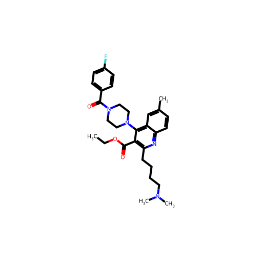 CCOC(=O)c1c(CCCCN(C)C)nc2ccc(C)cc2c1N1CCN(C(=O)c2ccc(F)cc2)CC1